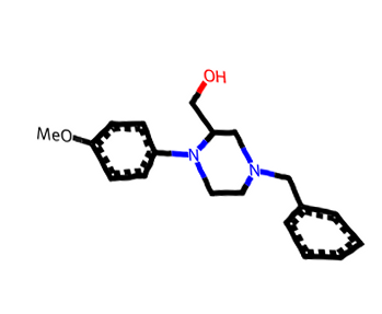 COc1ccc(N2CCN(Cc3ccccc3)CC2CO)cc1